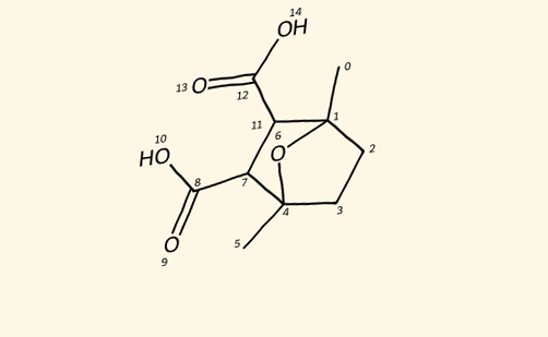 CC12CCC(C)(O1)C(C(=O)O)C2C(=O)O